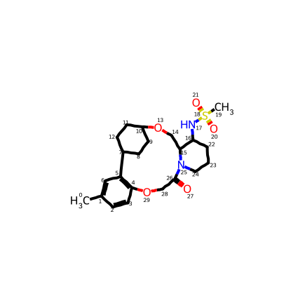 Cc1ccc2c(c1)C1CCC(CC1)OCC1C(NS(C)(=O)=O)CCCN1C(=O)CO2